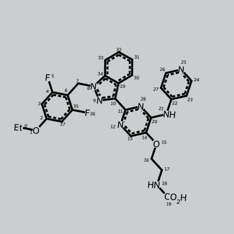 CCOc1cc(F)c(Cn2nc(-c3ncc(OCCNC(=O)O)c(Nc4ccncc4)n3)c3ccccc32)c(F)c1